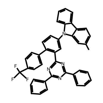 Cc1ccc2c3ccccc3n(-c3ccc(-c4ccc(C(F)(F)F)cc4)c(-c4nc(-c5ccccc5)nc(-c5ccccc5)n4)c3)c2c1